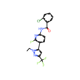 CCn1nc(C(F)(F)F)cc1-c1ccc(NC(=O)c2ccccc2Cl)nc1F